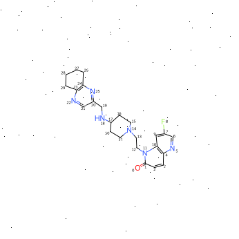 O=c1ccc2ncc(F)cc2n1CCN1CCC(NCc2cnc3c(n2)CCCC3)CC1